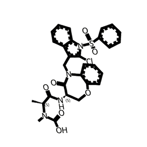 C[C@@H](C(=O)N[C@H]1COc2ccccc2N(Cc2c(Cl)n(S(=O)(=O)c3ccccc3)c3ccccc23)C1=O)N(C)C(=O)O